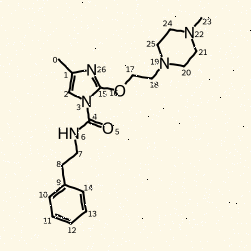 Cc1cn(C(=O)NCCc2ccccc2)c(OCCN2CCN(C)CC2)n1